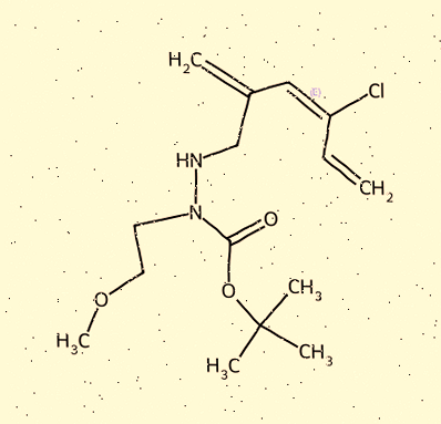 C=C/C(Cl)=C\C(=C)CNN(CCOC)C(=O)OC(C)(C)C